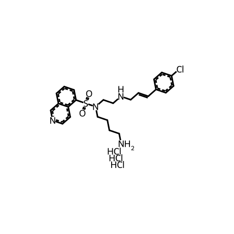 Cl.Cl.Cl.NCCCCN(CCNCC=Cc1ccc(Cl)cc1)S(=O)(=O)c1cccc2cnccc12